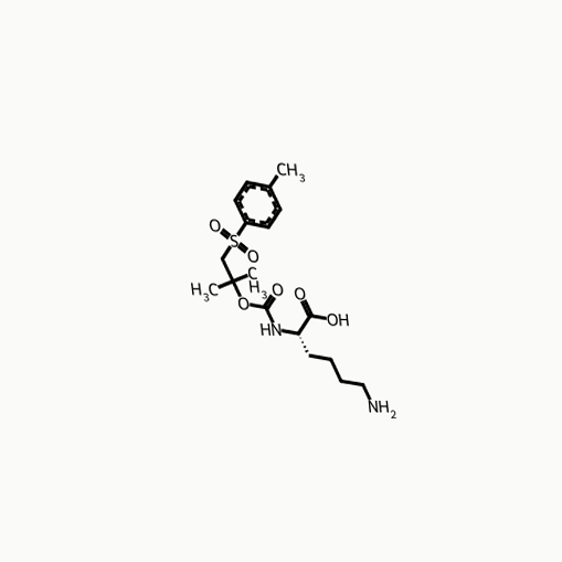 Cc1ccc(S(=O)(=O)CC(C)(C)OC(=O)N[C@@H](CCCCN)C(=O)O)cc1